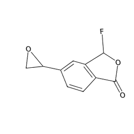 O=C1OC(F)c2cc(C3CO3)ccc21